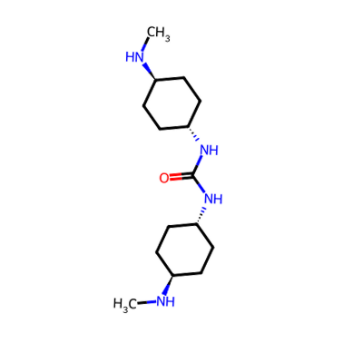 CN[C@H]1CC[C@H](NC(=O)N[C@H]2CC[C@H](NC)CC2)CC1